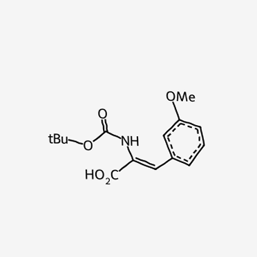 COc1cccc(C=C(NC(=O)OC(C)(C)C)C(=O)O)c1